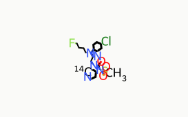 CS(=O)(=O)n1c(=O)n(Cc2nc3cc(Cl)ccc3n2CCCCF)c2[14cH]nccc21